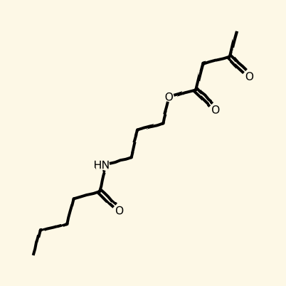 CCCCC(=O)NCCCOC(=O)CC(C)=O